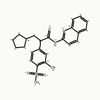 CS(=O)(=O)c1ccc(C(CC2CCCC2)C(=O)Nc2ccc3ccccc3n2)cc1C#N